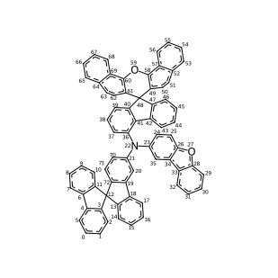 c1ccc2c(c1)-c1ccccc1C21c2ccccc2-c2cc(N(c3ccc4oc5ccccc5c4c3)c3cccc4c3-c3ccccc3C43c4ccc5ccccc5c4Oc4c3ccc3ccccc43)ccc21